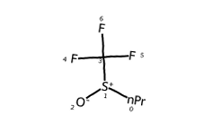 [CH2]CC[S+]([O-])C(F)(F)F